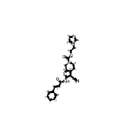 N#Cc1c(NC(=O)/C=C/c2ccccc2)sc2c1CCN(C(=O)OCCn1ccnc1)C2